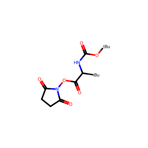 CCC(C)C(NC(=O)OC(C)(C)C)C(=O)ON1C(=O)CCC1=O